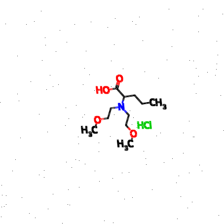 CCCC(C(=O)O)N(CCOC)CCOC.Cl